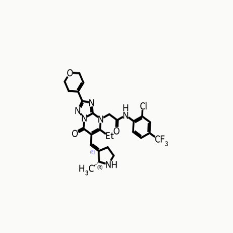 CCc1c(/C=C2\CCN[C@@H]2C)c(=O)n2nc(C3=CCOCC3)nc2n1CC(=O)Nc1ccc(C(F)(F)F)cc1Cl